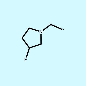 [CH2]CN1CCC(F)C1